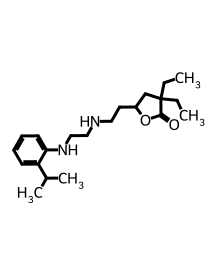 CCC1(CC)CC(CCNCCNc2ccccc2C(C)C)OC1=O